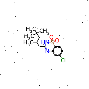 CC(CC1=Nc2cc(Cl)ccc2S(=O)(=O)N1)CC(C)(C)C